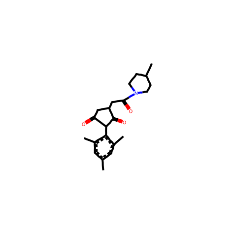 Cc1cc(C)c(C2C(=O)CC(CC(=O)N3CCC(C)CC3)C2=O)c(C)c1